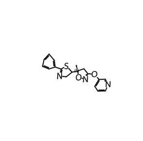 C[C@@]1(C2CN=C(c3ccccc3)S2)CC(Oc2cccnc2)=NO1